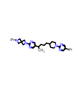 CC(C)c1cnc(N2CCC(CCCC(C)c3cnc(N4CC5(C4)CN(C(C)C)C5)nc3)CC2)nc1